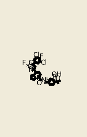 CC1(C)OB(O)c2cc(CNC(=O)c3ccc(C4=NO[C@](c5cc(Cl)c(F)c(Cl)c5)(C(F)(F)F)C4)c4cccn34)ccc21